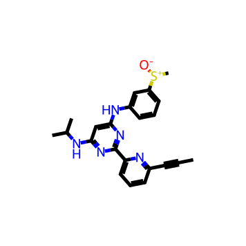 CC#Cc1cccc(-c2nc(Nc3cccc([S+](C)[O-])c3)cc(NC(C)C)n2)n1